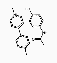 CC(=O)Nc1ccc(O)cc1.C[n+]1ccc(-c2cc[n+](C)cc2)cc1